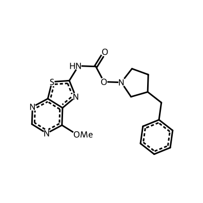 COc1ncnc2sc(NC(=O)ON3CCC(Cc4ccccc4)C3)nc12